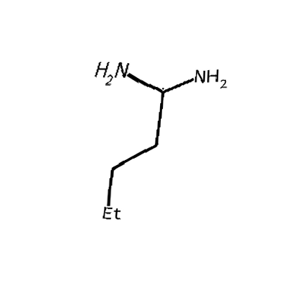 [CH2]CCC[C](N)N